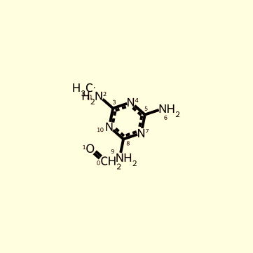 C=O.Nc1nc(N)nc(N)n1.[CH3]